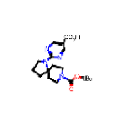 CC(C)(C)OC(=O)N1CCC2(CCCN2c2ncc(C(=O)O)cn2)CC1